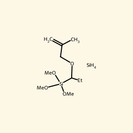 C=C(C)COC(CC)[Si](OC)(OC)OC.[SiH4]